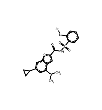 CCOc1ccccc1S(=O)(=O)NC(=O)c1cc2c(N(C)C)cc(C3CC3)cc2o1